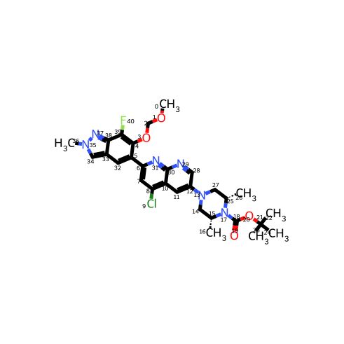 COCOc1c(-c2cc(Cl)c3cc(N4C[C@@H](C)N(C(=O)OC(C)(C)C)[C@@H](C)C4)cnc3n2)cc2cn(C)nc2c1F